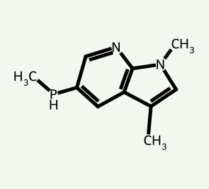 CPc1cnc2c(c1)c(C)cn2C